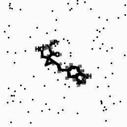 CC(C)NC(=O)C1(CO)CC1C=Cc1ccc2[nH]ncc2c1